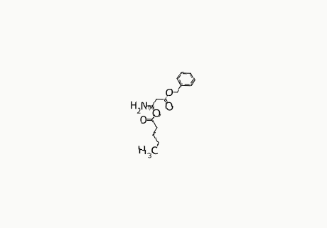 CCCCC(=O)O[C@@H](N)CC(=O)OCc1ccccc1